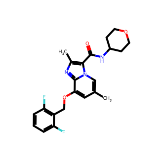 Cc1cc(OCc2c(F)cccc2F)c2nc(C)c(C(=O)NC3CCOCC3)n2c1